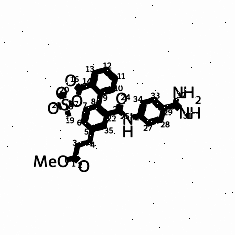 COC(=O)CCc1ccc(-c2ccccc2C(=O)OS(C)(=O)=O)c(C(=O)Nc2ccc(C(=N)N)cc2)c1